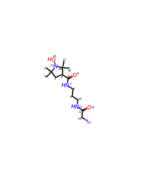 CC1(C)CC(C(=O)NCCCNC(=O)CI)C(C)(C)N1O